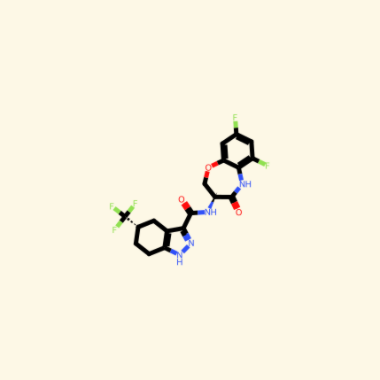 O=C(N[C@H]1COc2cc(F)cc(F)c2NC1=O)c1n[nH]c2c1C[C@@H](C(F)(F)F)CC2